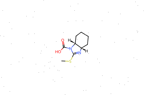 CSC1=N[C@H]2CCCC[C@H]2N1C(=O)O